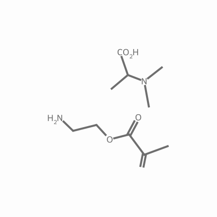 C=C(C)C(=O)OCCN.CC(C(=O)O)N(C)C